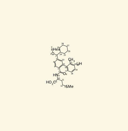 CCCCCCOC(c1ccc(C(=O)NC(CCSC)C(=O)O)c(-c2ccccc2C)c1)C1CCCCC1.[LiH]